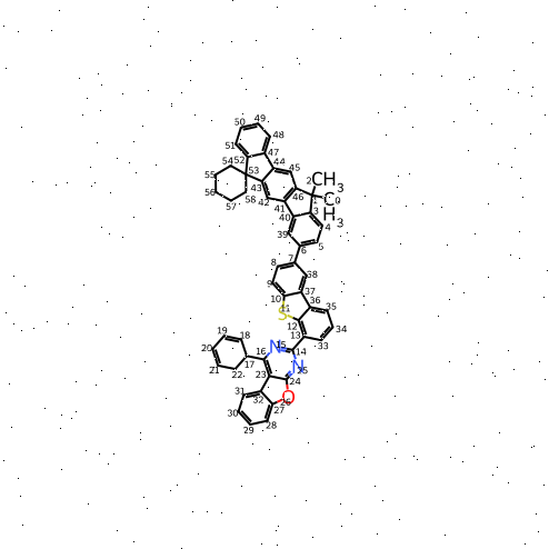 CC1(C)c2ccc(-c3ccc4sc5c(-c6nc(C7C=CC=CC7)c7c(n6)oc6ccccc67)cccc5c4c3)cc2-c2cc3c(cc21)-c1ccccc1C31CCCCC1